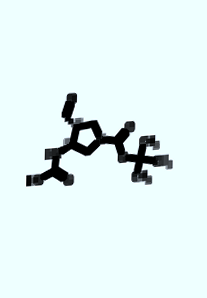 CC(C)(C)OC(=O)N1C[C@@H](C=O)[C@H](NC(=O)O)C1